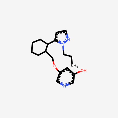 CCCn1nccc1C1CCCCC1COc1cncc(O)c1